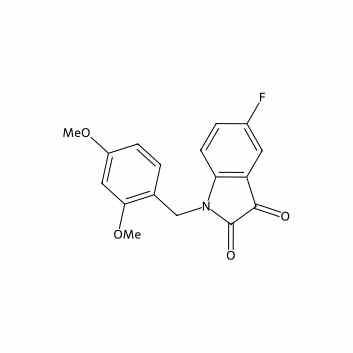 COc1ccc(CN2C(=O)C(=O)c3cc(F)ccc32)c(OC)c1